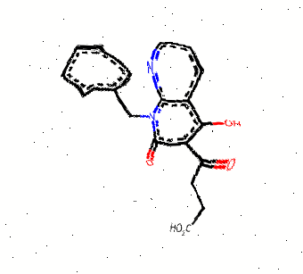 O=C(O)CCC(=O)c1c(O)c2cccnc2n(Cc2ccccc2)c1=O